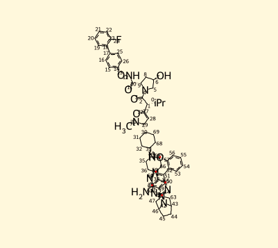 CC(C)[C@@H](C(=O)N1C[C@H](O)C[C@H]1C(=O)NOc1ccc(-c2ccccc2F)cc1)C1=CC([C@H]2CC[C@H](N3CCC(c4cnc(N5C6CCC5CN(c5cc(-c7ccccc7O)nnc5N)C6)nc4)CC3)CC2)N(C)O1